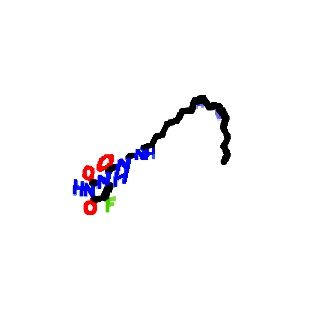 CCCCC/C=C\C/C=C\CCCCCCCCNCNC(=O)n1cc(F)c(=O)[nH]c1=O